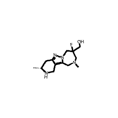 C[C@@H]1Cc2nn3c(c2CN1)CN(C)CC(F)(CO)C3